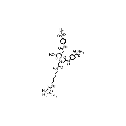 CC(C)(C)OC(=O)NCCCCCCNC(=O)CN(CCN(CC(=O)O)CC(=O)Nc1ccc(S(N)(=O)=O)cc1)CC(=O)Nc1ccc(S(N)(=O)=O)cc1